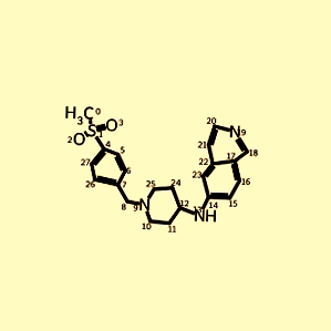 CS(=O)(=O)c1ccc(CN2CCC(Nc3ccc4cnccc4c3)CC2)cc1